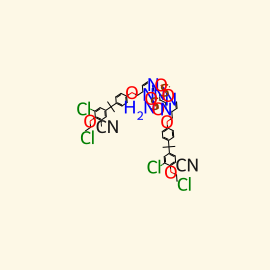 CC(C)(c1ccc(OCc2ccnc(C(N(c3nccc(COc4ccc(C(C)(C)c5cc(Cl)c(OCCCl)c(C#N)c5)cc4)n3)S(C)(=O)=O)S(N)(=O)=O)n2)cc1)c1cc(Cl)c(OCCCl)c(C#N)c1